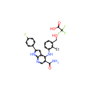 CCc1c(CO)cccc1Nc1c(C(N)=O)cnc2[nH]c(-c3ccc(F)cc3)cc12.O=C(O)C(F)(F)F